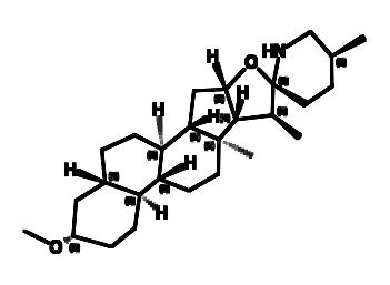 CO[C@H]1CC[C@H]2[C@@H](CC[C@@H]3[C@@H]2CC[C@]2(C)[C@@H]4[C@H](C[C@@H]32)O[C@@]2(CC[C@H](C)CN2)[C@H]4C)C1